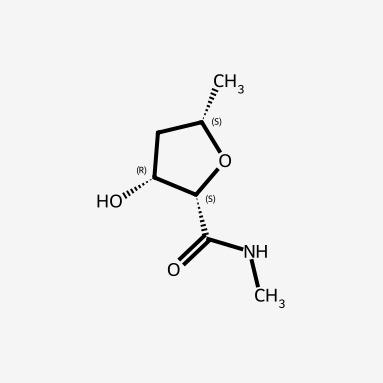 CNC(=O)[C@H]1O[C@@H](C)C[C@H]1O